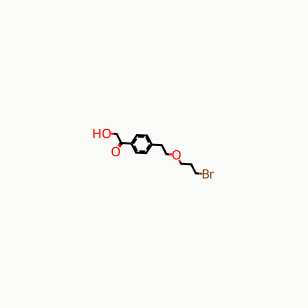 O=C(CO)c1ccc(CCOCCCBr)cc1